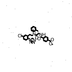 COC(=O)c1ccc(C(=O)N[C@@H](Cc2ccccc2)C(=O)NCCc2cc(Cl)ccc2-n2cnnn2)cc1